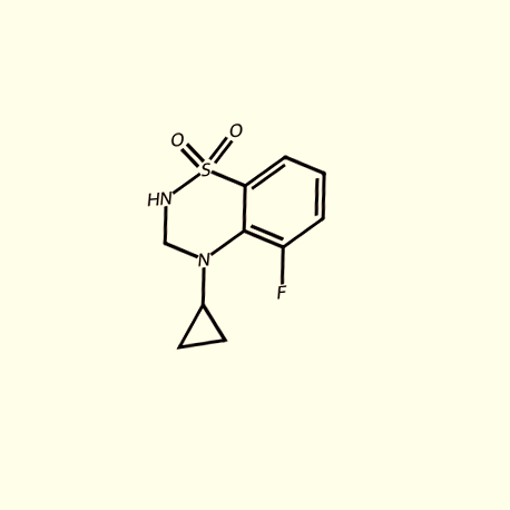 O=S1(=O)NCN(C2CC2)c2c(F)cccc21